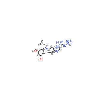 COc1cc(OC)cc(N(CC2CC2)c2ccc3ncc(/C(N)=N/N(C)N)nc3c2)c1